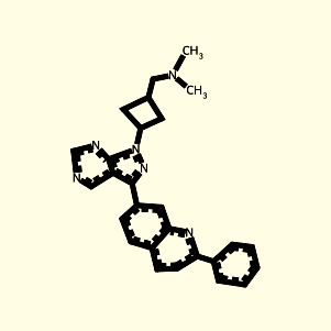 CN(C)CC1CC(n2nc(-c3ccc4ccc(-c5ccccc5)nc4c3)c3cncnc32)C1